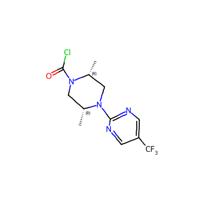 C[C@@H]1CN(c2ncc(C(F)(F)F)cn2)[C@H](C)CN1C(=O)Cl